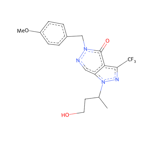 COc1ccc(Cn2ncc3c(c(C(F)(F)F)nn3C(C)CCO)c2=O)cc1